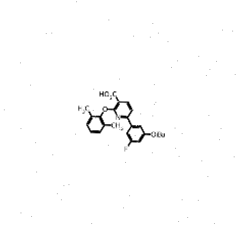 Cc1cccc(C)c1Oc1nc(-c2cc(F)cc(OCC(C)C)c2)ccc1C(=O)O